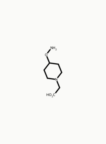 NOC1CCN(CC(=O)O)CC1